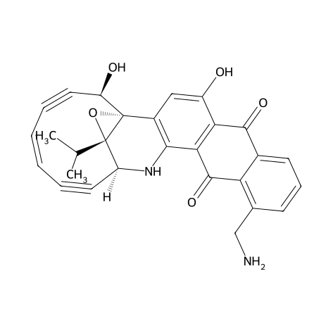 CC(C)[C@@]12O[C@]13c1cc(O)c4c(c1N[C@H]2C#C/C=C\C#C[C@H]3O)C(=O)c1c(CN)cccc1C4=O